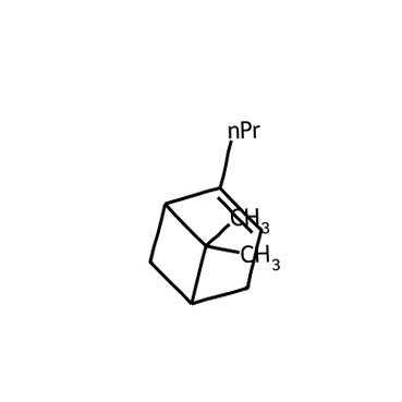 CCCC1=CCC2CC1C2(C)C